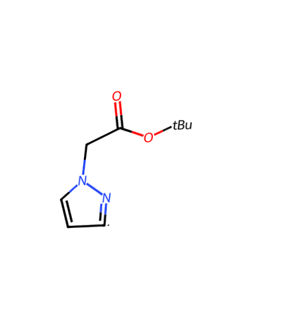 CC(C)(C)OC(=O)Cn1cc[c]n1